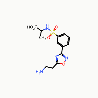 CC(NS(=O)(=O)c1cccc(-c2noc(CCN)n2)c1)C(=O)O